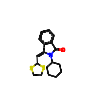 O=C1c2ccccc2/C(=C/C2SCCS2)N1C1CCCCC1